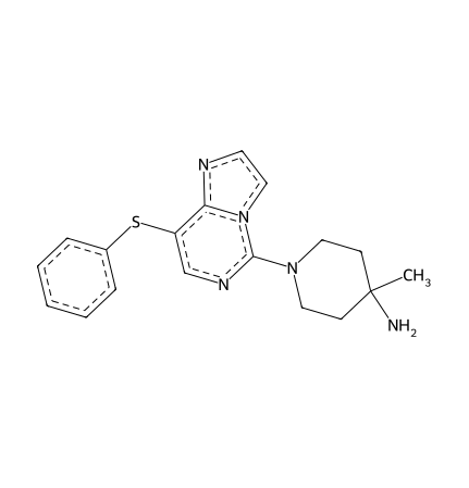 CC1(N)CCN(c2ncc(Sc3ccccc3)c3nccn23)CC1